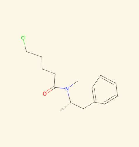 C[C@@H](Cc1ccccc1)N(C)C(=O)CCCCCl